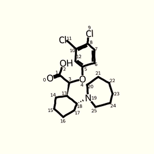 O=C(O)C(Oc1ccc(Cl)c(Cl)c1)[C@@H]1CCCC[C@H]1N1CCCCCC1